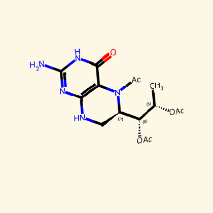 CC(=O)O[C@@H]([C@H](C)OC(C)=O)[C@H]1CNc2nc(N)[nH]c(=O)c2N1C(C)=O